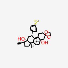 C#C[C@]1(O)CC[C@H]2[C@@H]3CC[C@@]4(O)CC5(CCC4=C3[C@@H](c3ccc(SC)cc3)C[C@@]21C)OCCO5